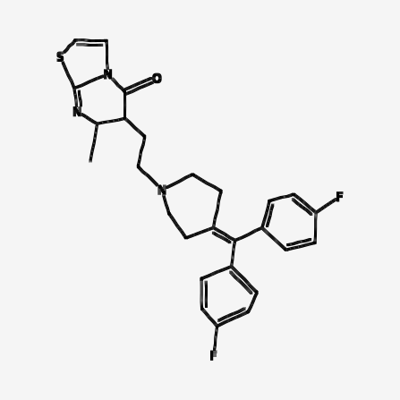 CC1N=C2SC=CN2C(=O)C1CCN1CCC(=C(c2ccc(F)cc2)c2ccc(F)cc2)CC1